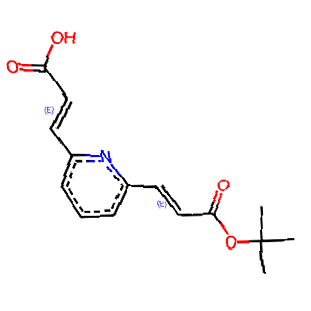 CC(C)(C)OC(=O)/C=C/c1cccc(/C=C/C(=O)O)n1